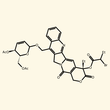 CCC(Br)C(=O)O[C@]1(CC)C(=O)OCc2c1cc1n(c2=O)Cc2c-1nc1ccccc1c2COC1C=C[C@H](OC(C)=O)[C@@H](COC(C)=O)O1